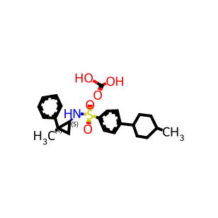 CC1CCC(c2ccc(S(=O)(=O)N[C@H]3C[C@]3(C)c3ccccc3)cc2)CC1.O=C(O)O